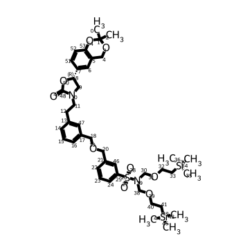 CC1(C)OCc2cc([C@@H]3CN(CCc4cccc(COCc5cccc(S(=O)(=O)N(COCC[Si](C)(C)C)COCC[Si](C)(C)C)c5)c4)C(=O)O3)ccc2O1